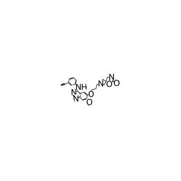 C#Cc1cccc(Nc2ncnc3cc(OC)c(OCCCN4CC5(C4)CN(C)C(=O)O5)cc23)c1